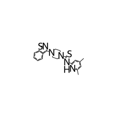 Cc1cc(C)nc(NC(=S)N2CCN(c3nsc4ccccc34)CC2)c1